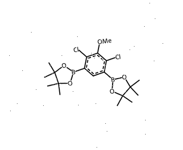 COc1c(Cl)c(B2OC(C)(C)C(C)(C)O2)cc(B2OC(C)(C)C(C)(C)O2)c1Cl